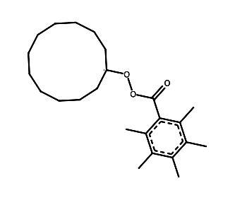 Cc1c(C)c(C)c(C(=O)OO[C]2CCCCCCCCCCC2)c(C)c1C